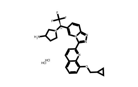 Cl.Cl.NC1CCN([C@H](c2ccc3nnc(-c4ccc5cccc(OCC6CC6)c5n4)n3c2)C(F)(F)F)C1